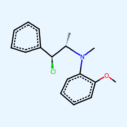 COc1ccccc1N(C)[C@@H](C)[C@@H](Cl)c1ccccc1